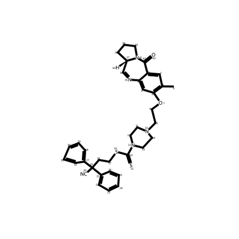 Cc1cc2c(cc1OCCN1CCN(C(=S)SCCC(C#N)(c3ccccc3)c3ccccc3)CC1)N=C[C@@H]1CCCN1C2=O